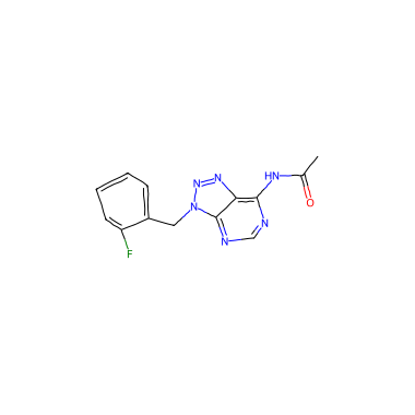 CC(=O)Nc1ncnc2c1nnn2Cc1ccccc1F